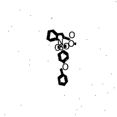 COC(=O)C1Cc2ccccc2N1S(=O)(=O)c1ccc(OCc2ccccc2)cc1